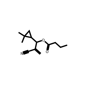 C=C(C#N)C(OC(=O)CCC)C1CC1(C)C